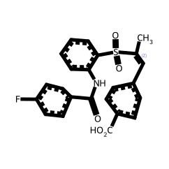 C/C(=C/c1ccc(C(=O)O)cc1)S(=O)(=O)c1ccccc1NC(=O)c1ccc(F)cc1